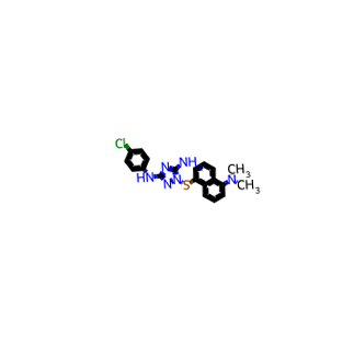 CN(C)c1cccc2c(Sn3nc(Nc4ccc(Cl)cc4)nc3N)cccc12